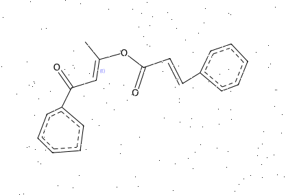 C/C(=C\C(=O)c1ccccc1)OC(=O)C=Cc1ccccc1